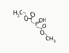 CCOC(=O)CP(O)CC(=O)OCC